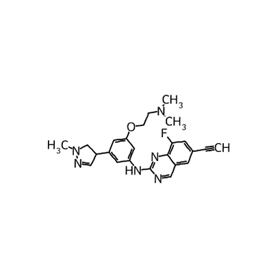 C#Cc1cc(F)c2nc(Nc3cc(OCCN(C)C)cc(C4C=NN(C)C4)c3)ncc2c1